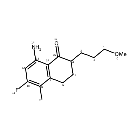 COCCCC1CCc2c(C)c(F)cc(N)c2C1=O